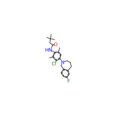 Cc1cc(N2CCCc3cc(F)ccc3C2)c(Cl)c(C)c1NC(=O)CC(C)(C)C